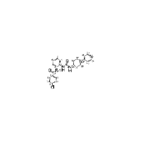 O=C(Nc1ccccc1NC(=O)c1ccc(Cl)cc1)NC1CCN(c2ccncc2)CC1